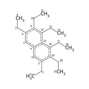 CCc1[c]c2cc(CC)c(CC)c(CC)c2c(CC)c1CC